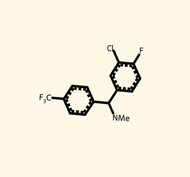 CNC(c1ccc(C(F)(F)F)cc1)c1ccc(F)c(Cl)c1